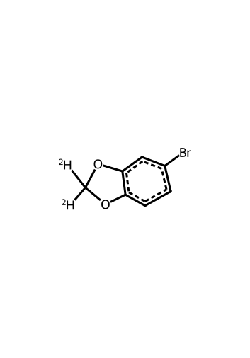 [2H]C1([2H])Oc2ccc(Br)cc2O1